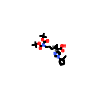 Cc1ccccc1-n1cnc([C@@]2(C(=O)O)C[C@@H]2CCCN(C(=O)OC(C)(C)C)C(=O)OC(C)(C)C)c1